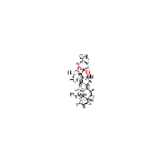 CC1CC[C@@]2(OC1)O[C@H]1CC3C4CC[C@@H]5C=C=CC[C@]5(C)C4CC[C@]3(C)C1[C@@H]2C